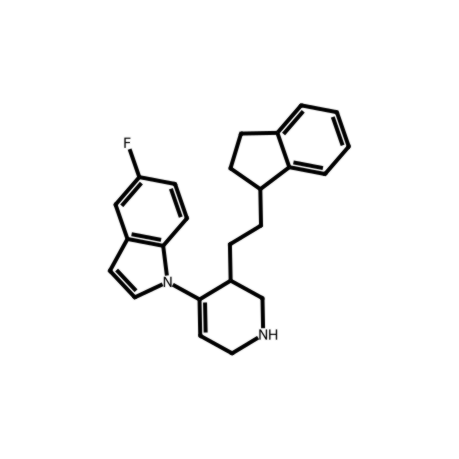 Fc1ccc2c(ccn2C2=CCNCC2CCC2CCc3ccccc32)c1